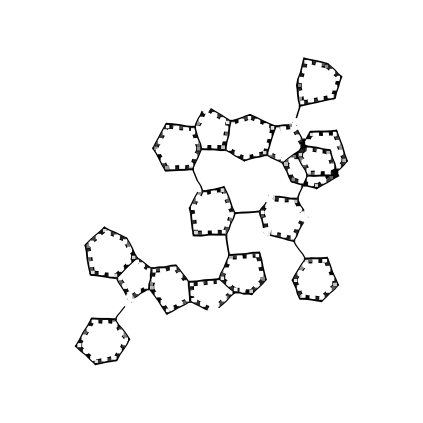 c1ccc(-c2nc(-c3ccccc3)nc(-c3cc(-c4cccc5oc6cc7c(cc6c45)c4ccccc4n7-c4ccccc4)ccc3-c3cccc4oc5cc6c(cc5c34)c3ccccc3n6-c3ccccc3)n2)cc1